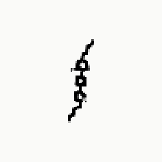 CCCCCc1ccc(-c2ccc(-c3ccc(CCCCC)nc3)cc2)c(F)c1